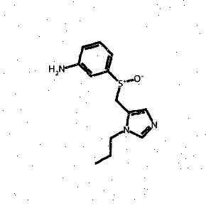 CCCn1cncc1C[S+]([O-])c1cccc(N)c1